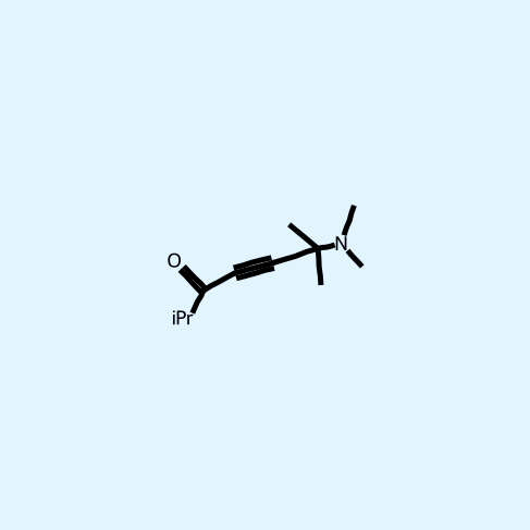 CC(C)C(=O)C#CC(C)(C)N(C)C